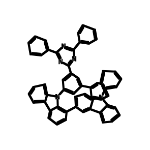 c1ccc(-c2cc(-c3nc(-c4ccccc4)nc(-c4ccccc4)n3)cc(-n3c4ccccc4c4cccc(-c5ccc6c(c5)c5ccccc5n6-c5ccccc5)c43)c2)cc1